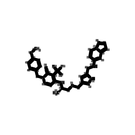 COc1ccc(Cn2ncc(N[C@@H](C)COCc3cc(CNc4ccn5nccc5n4)[nH]n3)c(C(F)(F)F)c2=O)cc1